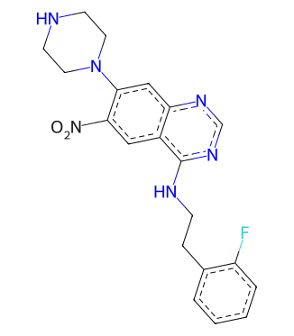 O=[N+]([O-])c1cc2c(NCCc3ccccc3F)ncnc2cc1N1CCNCC1